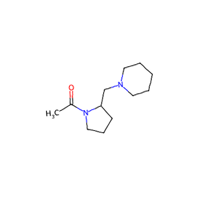 CC(=O)N1CCCC1CN1CCCCC1